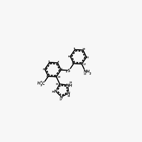 Cc1cccc(Sc2ccccc2N)c1-c1nnn[nH]1